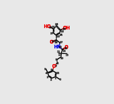 Cc1ccc(C)c(OCCCC(C)(C)C(=O)NCC(=O)c2cc(O)cc(O)c2)c1